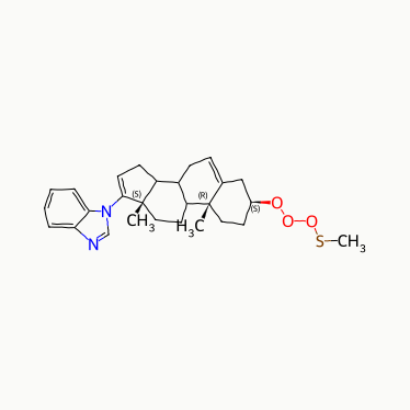 CSOOO[C@H]1CC[C@@]2(C)C(=CCC3C2CC[C@]2(C)C(n4cnc5ccccc54)=CCC32)C1